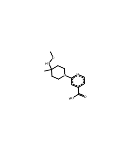 CONC1(C)CCN(c2cc(C(=O)O)ccn2)CC1